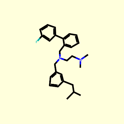 CC(C)Cc1cccc(CN(CCN(C)C)Cc2ccccc2-c2cccc(F)c2)c1